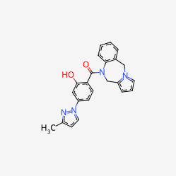 Cc1ccn(-c2ccc(C(=O)N3Cc4cccn4Cc4ccccc43)c(O)c2)n1